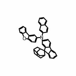 c1ccc2c(c1)-c1ccc(N(c3ccc4ccccc4c3)c3ccc4oc5ccccc5c4c3)cc1C21C2CC3CC(C2)CC1C3